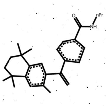 C=C(c1ccc(C(=O)NCCC)cc1)c1cc2c(cc1C)C(C)(C)CCC2(C)C